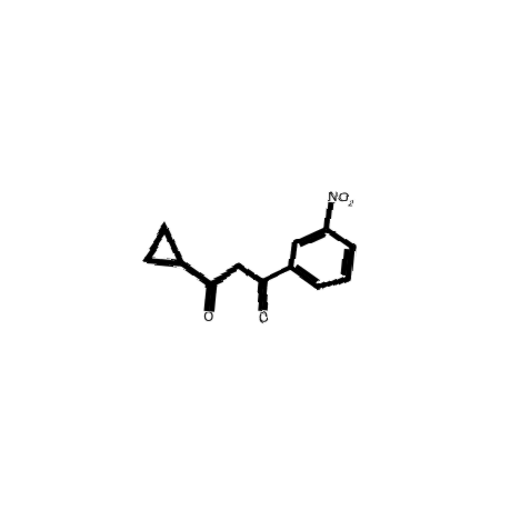 O=C(CC(=O)C1CC1)c1cccc([N+](=O)[O-])c1